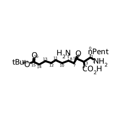 CCCCC[C@H](N)C(C(=O)O)C(=O)C[C@@H](N)CCCCCC(=O)OC(C)(C)C